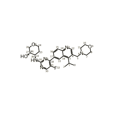 CC(C)c1c(CN2CCOCC2)cnc2ccc(-c3nc(N[C@@H]4CCOC[C@@H]4O)ncc3F)cc12